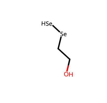 OCC[Se][SeH]